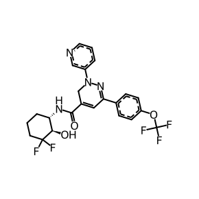 O=C(N[C@H]1CCCC(F)(F)[C@@H]1O)C1=CC(c2ccc(OC(F)(F)F)cc2)=NN(c2cccnc2)C1